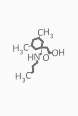 CCCCNC[C@]1(CC(=O)O)C[C@H](C)C[C@H](C)C1